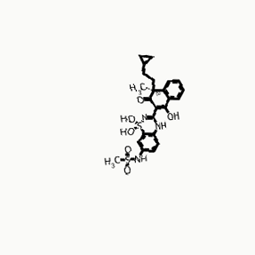 C[C@@]1(CCC2CC2)C(=O)C(C2=NS(O)(O)c3cc(NS(C)(=O)=O)ccc3N2)=C(O)c2ccccc21